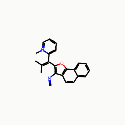 C=Nc1c(C(=C(C)C)c2cccc[n+]2C)oc2c1ccc1ccccc12